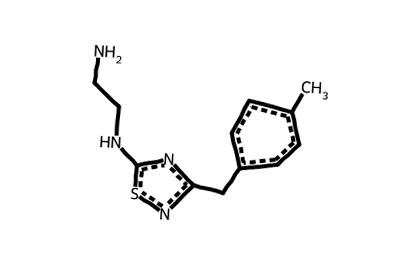 Cc1ccc(Cc2nsc(NCCN)n2)cc1